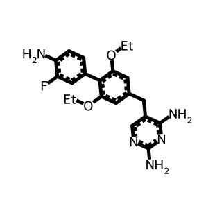 CCOc1cc(Cc2cnc(N)nc2N)cc(OCC)c1-c1ccc(N)c(F)c1